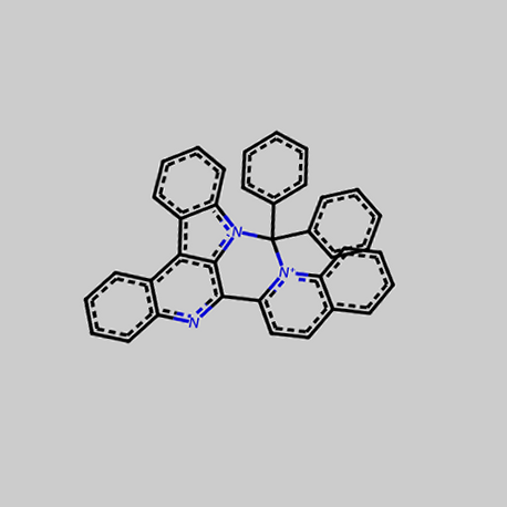 c1ccc(C2(c3ccccc3)n3c4ccccc4c4c5ccccc5nc(c43)-c3ccc4ccccc4[n+]32)cc1